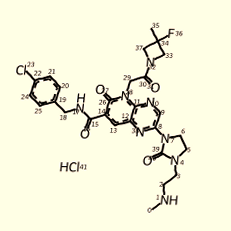 CNCCN1CCN(c2cnc3c(cc(C(=O)NCc4ccc(Cl)cc4)c(=O)n3CC(=O)N3CC(C)(F)C3)n2)C1=O.Cl